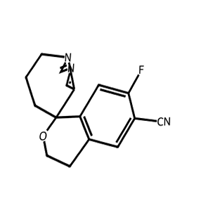 N#Cc1cc2c(cc1F)C1(CCCn3cncc31)OCC2